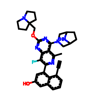 C#Cc1cccc2cc(O)cc(-c3nc(C)c4c(N5CC6CCC(C5)N6)nc(OCC56CCCN5CCC6)nc4c3F)c12